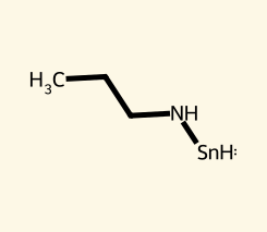 CCC[NH][SnH]